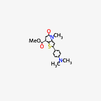 COC(=O)c1cc(=O)n(C)c2cc(-c3ccc(N(C)C)cc3)sc12